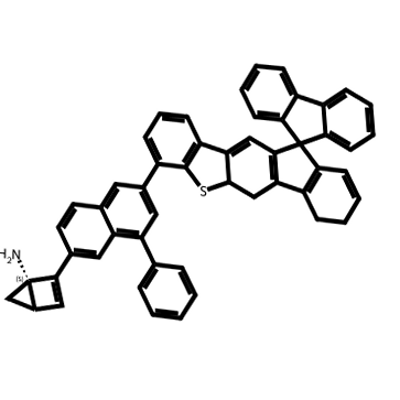 N[C@@]12CC1C=C2c1ccc2cc(-c3cccc4c3SC3CC5=C(C=C43)C3(C4=C5CCC=C4)c4ccccc4-c4ccccc43)cc(-c3ccccc3)c2c1